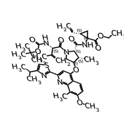 C=C[C@@H]1C[C@]1(NC(=O)[C@@H]1[C@H](C)[C@@H](Oc2cc(-c3nc(C(C)C)cs3)nc3c(C)c(OC)ccc23)CN1C(=O)[C@@H](NC(=O)OC(C)(C)C)C(=C)C)C(=O)OCC